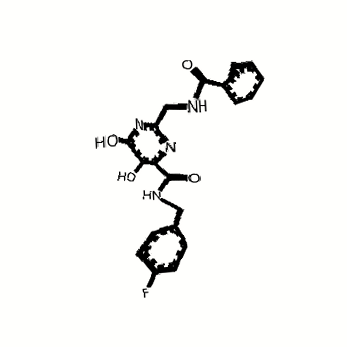 O=C(NCc1nc(O)c(O)c(C(=O)NCc2ccc(F)cc2)n1)c1ccccc1